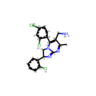 CC1=NC2=NC(c3ccccc3Cl)CN2C(c2ccc(Cl)cc2Cl)=C1CN